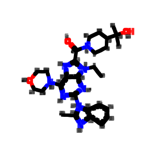 CCn1c(C(=O)N2CCC(C(C)(C)O)CC2)nc2c(N3CCOCC3)nc(-n3c(C)nc4ccccc43)nc21